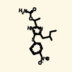 CCC(C)Cc1nc(C(C)OC(N)=O)[nH]c1Sc1ccc([N+](=O)[O-])cc1